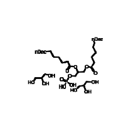 CCCCCCCCCCCCCCCC(=O)OCC(COP(=O)(O)O)OC(=O)CCCCCCCCCCCCCCC.OCC(O)CO.OCC(O)CO